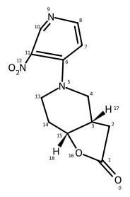 O=C1C[C@H]2CN(c3ccncc3[N+](=O)[O-])CC[C@H]2O1